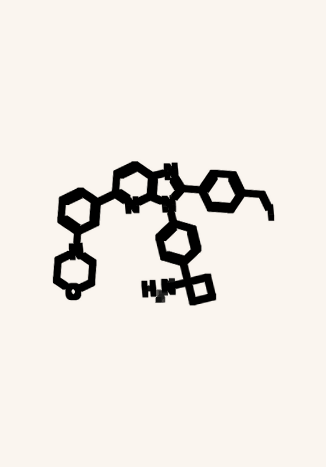 NC1(c2ccc(-n3c(-c4ccc(CI)cc4)nc4ccc(-c5cccc(N6CCOCC6)c5)nc43)cc2)CCC1